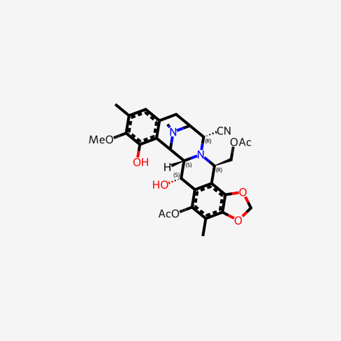 COc1c(C)cc2c(c1O)C1[C@H]3[C@@H](O)c4c(OC(C)=O)c(C)c5c(c4[C@H](COC(C)=O)N3[C@@H](C#N)C(C2)N1C)OCO5